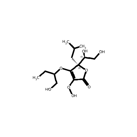 CCC(CO)OC1=C(OO)C(=O)O[C@]1(CC(C)C)[C@@H](O)CO